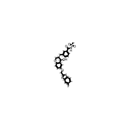 CS(=O)(=O)NC(=O)c1cccc(C[C@@H]2COc3ccc(OCc4nc5cc(F)ccc5s4)cc3[C@@H]2O)c1